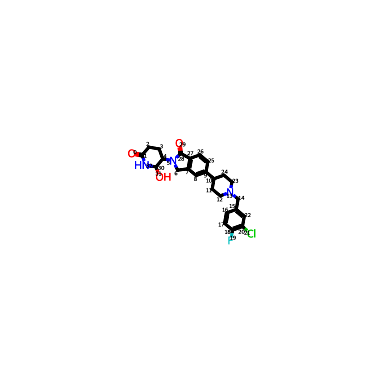 O=C1CCC(N2Cc3cc(C4CCN(Cc5ccc(F)c(Cl)c5)CC4)ccc3C2=O)C(O)N1